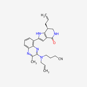 C=CC[C@H]1CNC(=O)c2cc(-c3cccc4nc(C)c(N(CC=C)CCCC#N)nc34)[nH]c21